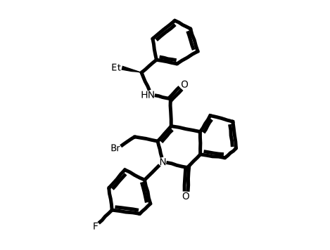 CC[C@H](NC(=O)c1c(CBr)n(-c2ccc(F)cc2)c(=O)c2ccccc12)c1ccccc1